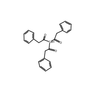 O=[C](Cc1ccccc1)[GeH]([C](=O)Cc1ccccc1)[C](=O)Cc1ccccc1